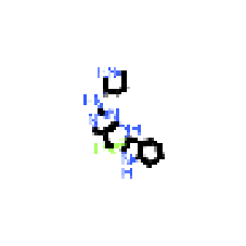 FC(F)(F)c1cnc(N[C@H]2CCCNC2)nc1Nc1c[nH]c2ccccc12